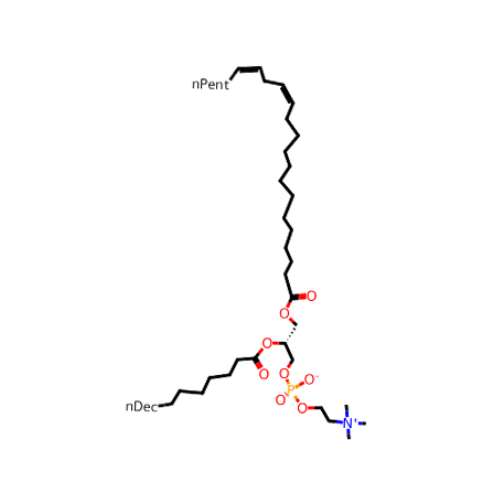 CCCCC/C=C\C/C=C\CCCCCCCCCCCC(=O)OC[C@H](COP(=O)([O-])OCC[N+](C)(C)C)OC(=O)CCCCCCCCCCCCCCCC